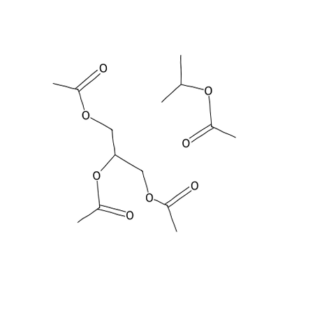 CC(=O)OC(C)C.CC(=O)OCC(COC(C)=O)OC(C)=O